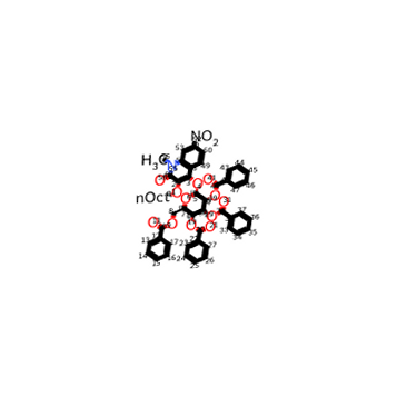 CCCCCCCCOc1c(O[C@@H]2O[C@H](COC(=O)c3ccccc3)[C@H](OC(=O)c3ccccc3)[C@H](OC(=O)c3ccccc3)[C@H]2OC(=O)c2ccccc2)c2ccc([N+](=O)[O-])cc2n(C)c1=O